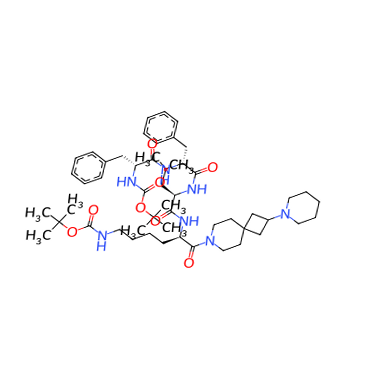 CC(C)C[C@@H](NC(=O)[C@@H](Cc1ccccc1)NC(=O)[C@@H](Cc1ccccc1)NC(=O)OC(C)(C)C)C(=O)N[C@H](CCCCNC(=O)OC(C)(C)C)C(=O)N1CCC2(CC1)CC(N1CCCCC1)C2